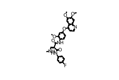 CN/C=C(\C(=O)Nc1ccc(F)cc1)C(=O)Nc1ccc(Oc2ccnc3cc(OC)c(OC)cc23)cc1OC